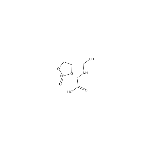 O=C(O)CNCO.O=[PH]1OCCO1